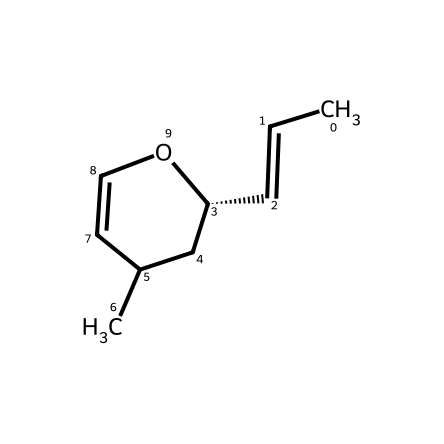 C/C=C/[C@@H]1CC(C)C=CO1